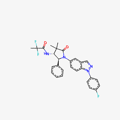 CC(F)(F)C(=O)N[C@H]1[C@H](c2ccccc2)N(c2ccc3c(cnn3-c3ccc(F)cc3)c2)C(=O)C1(C)C